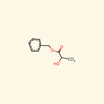 O=C(OCc1ccccc1)C(O)C(Cl)(Cl)Cl